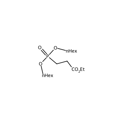 CCCCCCOP(=O)(CCC(=O)OCC)OCCCCCC